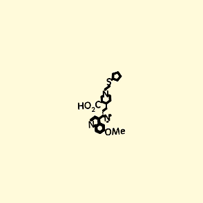 COc1ccc2nccc([C@H](CC[C@@H]3CCN(CCSC4CCCC4)C[C@@H]3C(=O)O)N(C)C)c2c1